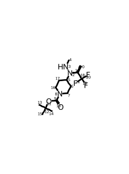 C=C(N(NC)C1CCN(C(=O)OC(C)(C)C)CC1)C(F)(F)F